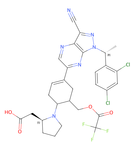 C[C@H](c1ccc(Cl)cc1Cl)n1nc(C#N)c2ncc(C3=CCC(N4CCC[C@H]4CC(=O)O)C(COC(=O)C(F)(F)F)C3)nc21